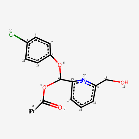 CC(C)C(=O)OC(Oc1ccc(Cl)cc1)c1cccc(CO)n1